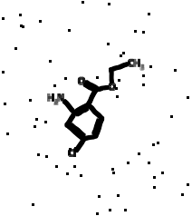 CCOC(=O)c1ccc(Cl)cc1N